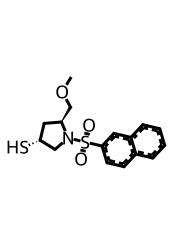 COC[C@@H]1C[C@@H](S)CN1S(=O)(=O)c1ccc2ccccc2c1